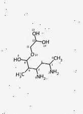 CC(N)CC(N)C(C)C(O)OCC(O)O